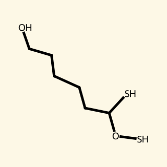 OCCCCCC(S)OS